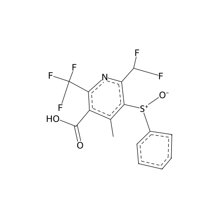 Cc1c(C(=O)O)c(C(F)(F)F)nc(C(F)F)c1[S+]([O-])c1ccccc1